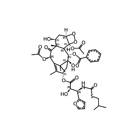 CC(=O)O[C@H]1C(=O)[C@@]2(C)[C@H]([C@H](OC(=O)c3ccccc3)[C@]3(O)C[C@H](OC(=O)[C@H](O)[C@@H](NC(=O)SCC(C)C)c4ccco4)C(C)=C1C3(C)C)[C@]1(OC(C)=O)OO[C@@H]1C[C@@H]2O